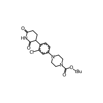 CC(C)(C)OC(=O)N1CCN(c2ccc(C3CCC(=O)NC3=O)c(Cl)c2)CC1